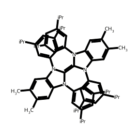 Cc1cc2c(cc1C)N(c1cc(C(C)C)cc(C(C)C)c1)C(=C1N(c3cc(C(C)C)cc(C(C)C)c3)c3cc(C)c(C)cc3N1c1cc(C(C)C)cc(C(C)C)c1)N2c1cc(C(C)C)cc(C(C)C)c1